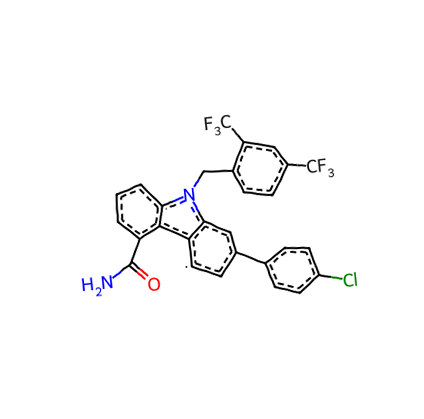 NC(=O)c1cccc2c1c1[c]cc(-c3ccc(Cl)cc3)cc1n2Cc1ccc(C(F)(F)F)cc1C(F)(F)F